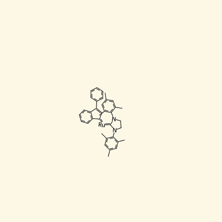 Cc1cc(C)c(N2CCN(c3c(C)cc(C)cc3C)[C]2=[Ru]=[C]2C=C(c3ccccc3)c3ccccc32)c(C)c1